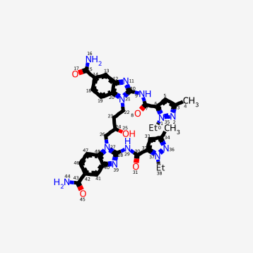 CCn1nc(C)cc1C(=O)Nc1nc2cc(C(N)=O)ccc2n1CCC(O)Cn1c(NC(=O)c2cc(C)nn2CC)nc2cc(C(N)=O)ccc21